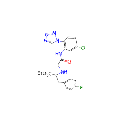 CCOC(=O)C(Cc1ccc(F)cc1)NCC(=O)Nc1cc(Cl)ccc1-n1cnnn1